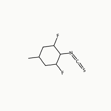 CC1CC(F)C(N=C=S)C(F)C1